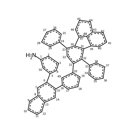 Nc1cccc(-c2cc3ccccc3cc2-c2cccc(-c3cc(-c4ccccc4)c4c(c3-c3ccccc3)-c3cccc5cccc-4c35)c2)c1